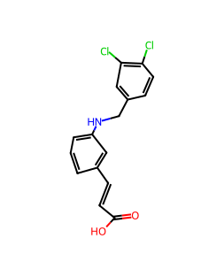 O=C(O)/C=C/c1cccc(NCc2ccc(Cl)c(Cl)c2)c1